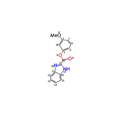 COc1cccc(OC(=O)c2nc3ccccc3[nH]2)c1